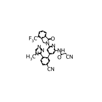 Cn1cnnc1-c1ccc(C#N)cc1-c1cc(NC(=O)CC#N)nc(N2Cc3c(cccc3C(F)(F)F)C2=O)c1